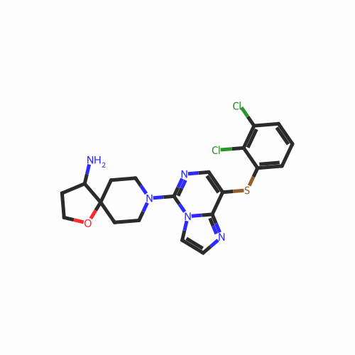 NC1CCOC12CCN(c1ncc(Sc3cccc(Cl)c3Cl)c3nccn13)CC2